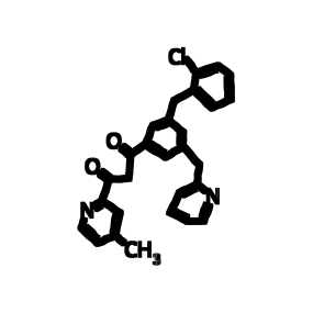 Cc1ccnc(C(=O)CC(=O)c2cc(Cc3ccccn3)cc(Cc3ccccc3Cl)c2)c1